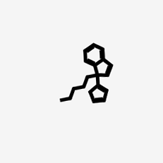 CCCCCC1(C2=CC=CC2)C=Cc2ccccc21